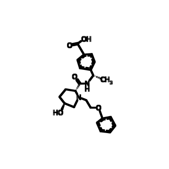 C[C@H](NC(=O)[C@H]1CC[C@H](O)CN1CCOc1ccccc1)c1ccc(C(=O)O)cc1